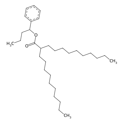 CCCCCCCCCCC(CCCCCCCCCC)C(=O)OC(CCC)c1ccccc1